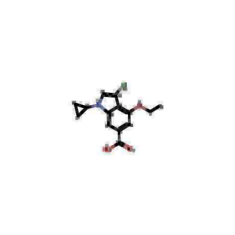 CCOc1cc(C(=O)O)cc2c1c(Cl)cn2C1CC1